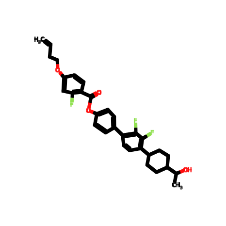 C=CCCOc1ccc(C(=O)Oc2ccc(-c3ccc(C4CCC(C(C)O)CC4)c(F)c3F)cc2)c(F)c1